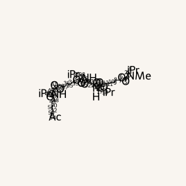 CNC(CC(C)C)C(=O)OCCCCCCOC(=O)C(CC(C)C)NC(=O)/C=C/C(=O)NC(CC(C)C)C(=O)OCCCCCCOC(=O)C(CC(C)C)NC(=O)CCCCCCC(C)=O